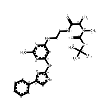 Cc1nc(NCCNC(=O)C(C)N(C)C(=O)OC(C)(C)C)cc(Nc2ncc(-c3ccccc3)s2)n1